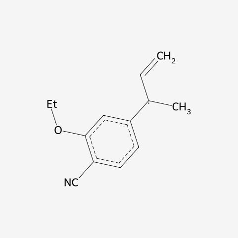 C=C[C](C)c1ccc(C#N)c(OCC)c1